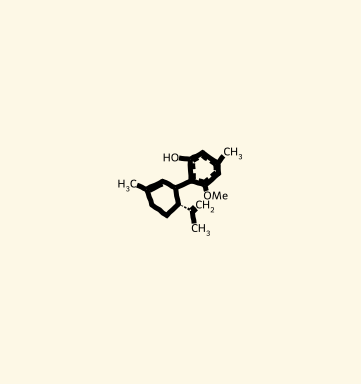 C=C(C)[C@@H]1CCC(C)=CC1c1c(O)cc(C)cc1OC